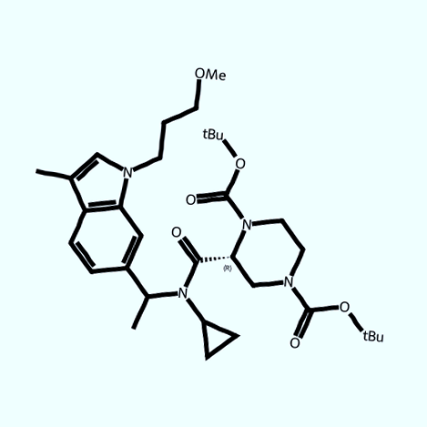 COCCCn1cc(C)c2ccc(C(C)N(C(=O)[C@H]3CN(C(=O)OC(C)(C)C)CCN3C(=O)OC(C)(C)C)C3CC3)cc21